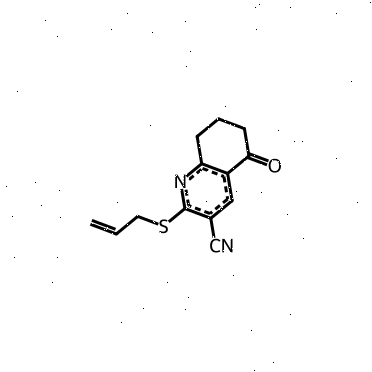 C=CCSc1nc2c(cc1C#N)C(=O)CCC2